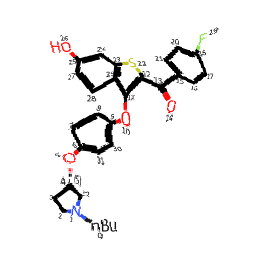 CCCCN1CC[C@H](Oc2ccc(Oc3c(C(=O)c4ccc(F)cc4)sc4cc(O)ccc34)cc2)C1